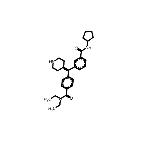 CCN(CC)C(=O)c1ccc(C(=C2CCNCC2)c2cccc(C(=O)NC3CCCC3)c2)cc1